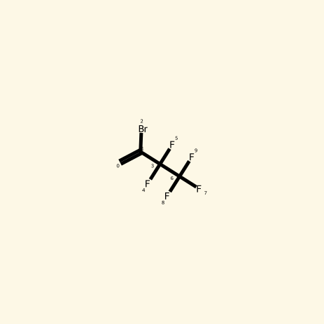 C=C(Br)C(F)(F)C(F)(F)F